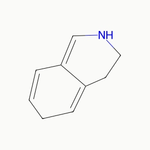 C1=CC2=CNCCC2=CC1